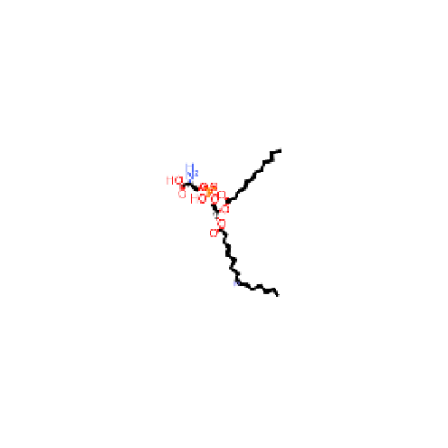 CCCCCC/C=C\CCCCCCCC(=O)OC[C@H](COP(=O)(O)OC[C@H](N)C(=O)O)OC(=O)CCCCCCCCCCC